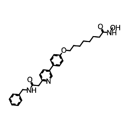 O=C(CCCCCCCOc1ccc(-c2ccc(CC(=O)NCc3ccccc3)nc2)cc1)NO